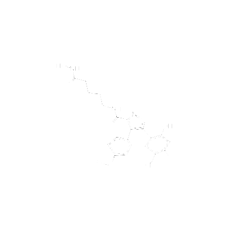 COc1ccc(-c2c(C(=O)NCCCCC(=O)NO)noc2-c2cc(Cl)c(O)cc2O)cc1